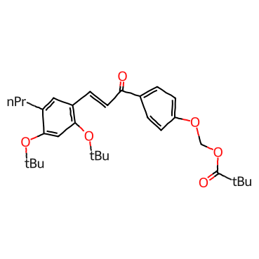 CCCc1cc(C=CC(=O)c2ccc(OCOC(=O)C(C)(C)C)cc2)c(OC(C)(C)C)cc1OC(C)(C)C